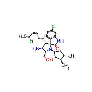 C=C(Cl)/C=C\C=C(/F)[C@H]1[C@H](N)[C@H](CO)N(C2C[C@H](C)[C@@H](C)C2)[C@@]12C(=O)Nc1cc(Cl)ccc12